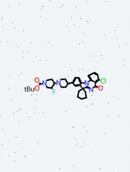 CC(C)(C)OC(=O)N1CCC(N2CCC(c3ccc4c(c3)C3(CCCCC3)c3nc(=O)c5c(Cl)cccc5n3-4)CC2)C(F)C1